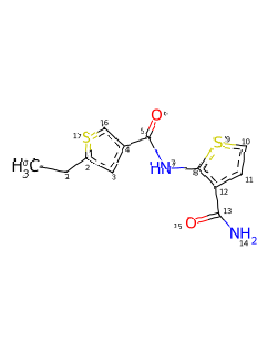 CCc1cc(C(=O)Nc2sccc2C(N)=O)cs1